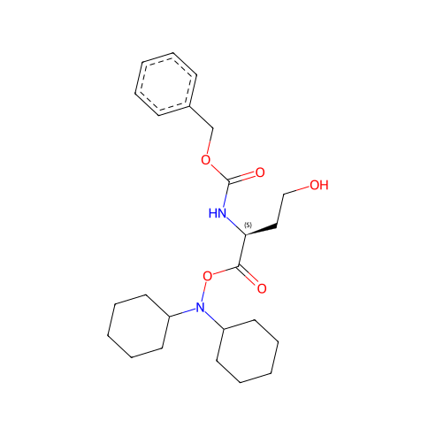 O=C(N[C@@H](CCO)C(=O)ON(C1CCCCC1)C1CCCCC1)OCc1ccccc1